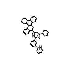 c1ccc(-c2cc(-c3cc4c5ccccc5c5ccccc5c4c4ccccc34)nc(-c3cccc(-c4ccccn4)c3)n2)cc1